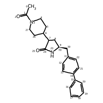 CC(=O)N1CCC(C2C[C@@H](Cc3ccc(-c4ccccc4)cc3)NC2=O)CC1